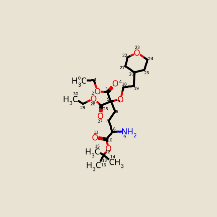 CCOC(=O)C(CCC(N)C(=O)OC(C)(C)C)(OCCC1CCOCC1)C(=O)OCC